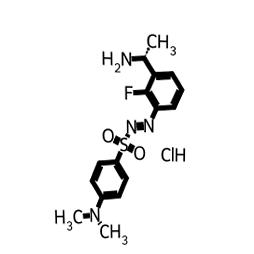 C[C@@H](N)c1cccc(N=NS(=O)(=O)c2ccc(N(C)C)cc2)c1F.Cl